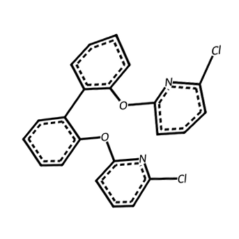 Clc1cccc(Oc2ccccc2-c2ccccc2Oc2cccc(Cl)n2)n1